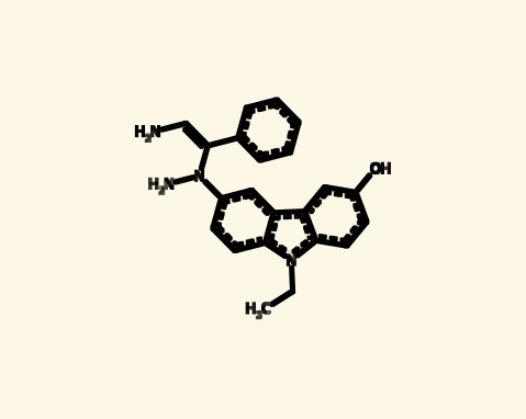 CCn1c2ccc(O)cc2c2cc(N(N)/C(=C\N)c3ccccc3)ccc21